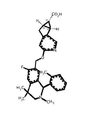 Cc1ccccc1C1c2cc(COc3cc4c(cn3)[C@H]3[C@@H](C4)[C@@H]3C(=O)O)c(F)cc2C(C)(C)CN1C